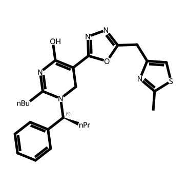 CCCCC1=NC(O)=C(c2nnc(Cc3csc(C)n3)o2)CN1[C@@H](CCC)c1ccccc1